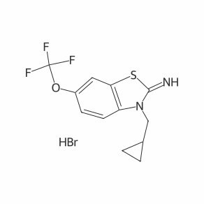 Br.N=c1sc2cc(OC(F)(F)F)ccc2n1CC1CC1